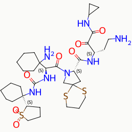 NCC[C@H](NC(=O)[C@@H]1CC2(CN1C(=O)[C@@H](NC(=O)NC1([C@@H]3CCCS3(=O)=O)CCCCC1)C1(N)CCCCC1)SCCCS2)C(=O)C(=O)NC1CC1